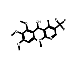 COc1cc(C)c(C(O)c2c(OC)ncc(C(F)(F)F)c2C)c(OC)c1OC